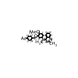 COc1ccc(N(C)c2nc(C)nc3ccccc23)cc1OCc1ccc(C(C)=O)cc1